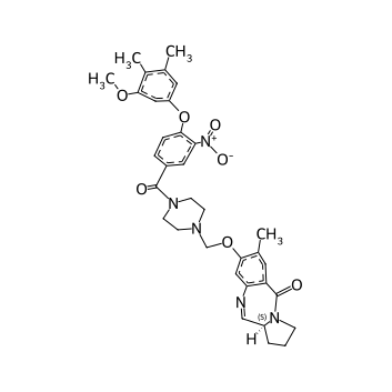 COc1cc(Oc2ccc(C(=O)N3CCN(COc4cc5c(cc4C)C(=O)N4CCC[C@H]4C=N5)CC3)cc2[N+](=O)[O-])cc(C)c1C